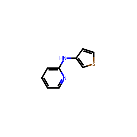 c1ccc(Nc2ccsc2)nc1